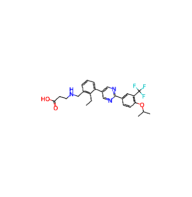 CCc1c(CNCCC(=O)O)cccc1-c1cnc(-c2ccc(OC(C)C)c(C(F)(F)F)c2)nc1